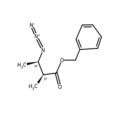 C[C@H](C(=O)OCc1ccccc1)[C@@H](C)N=[N+]=[N-]